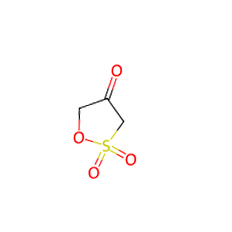 O=C1COS(=O)(=O)C1